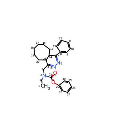 CCN(CC1=NN=C(c2ccccc2)C2CCCCCCC12)C(=O)Oc1ccccc1